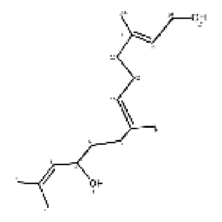 CC(C)=CC(O)CCC(C)=CCCC(C)=CCO